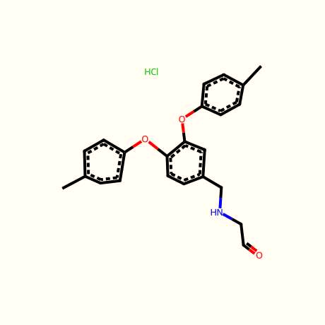 Cc1ccc(Oc2ccc(CNCC=O)cc2Oc2ccc(C)cc2)cc1.Cl